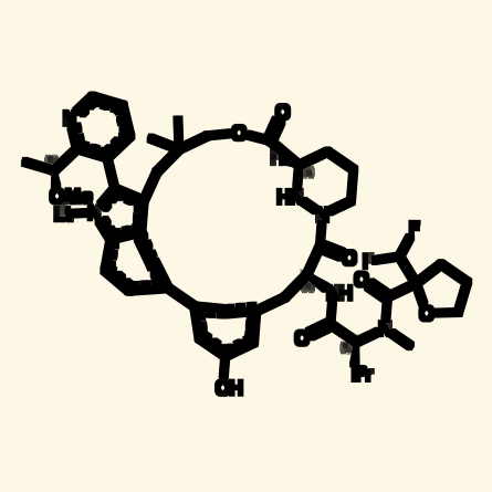 CCn1c(-c2cccnc2[C@H](C)OC)c2c3cc(ccc31)-c1cc(O)cc(c1)C[C@H](NC(=O)[C@H](C(C)C)N(C)C(=O)C1(C(F)F)CCCO1)C(=O)N1CCC[C@H](N1)C(=O)OCC(C)(C)C2